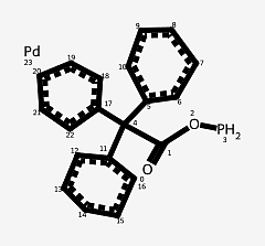 O=C(OP)C(c1ccccc1)(c1ccccc1)c1ccccc1.[Pd]